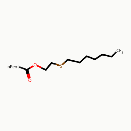 CCCCCC(=O)OCCSCCCCCCC(F)(F)F